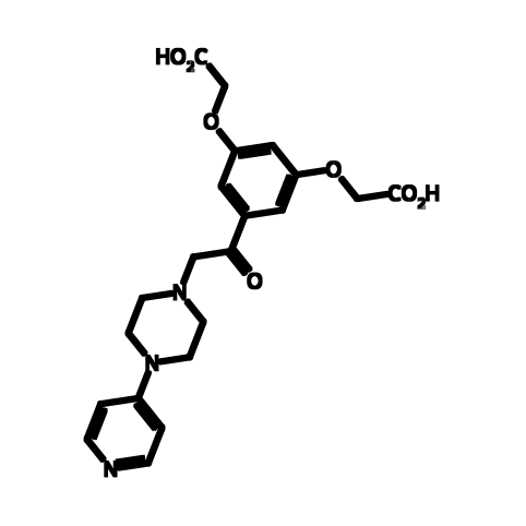 O=C(O)COc1cc(OCC(=O)O)cc(C(=O)CN2CCN(c3ccncc3)CC2)c1